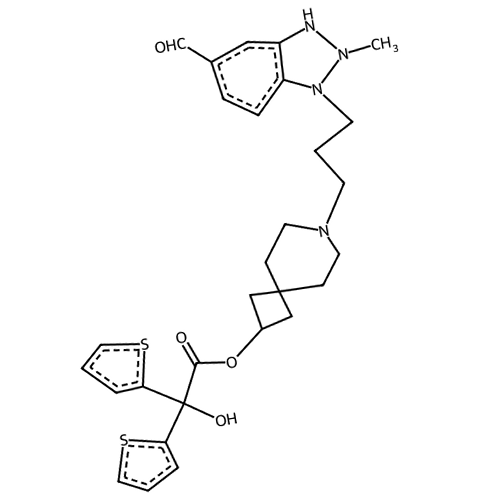 CN1Nc2cc(C=O)ccc2N1CCCN1CCC2(CC1)CC(OC(=O)C(O)(c1cccs1)c1cccs1)C2